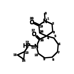 CN1CCC2(CCCCCCN(PC3CC3)C2=O)CC1=O